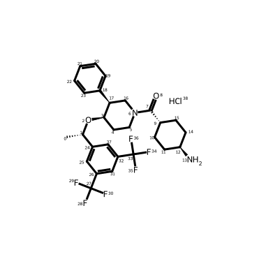 C[C@H](O[C@@H]1CCN(C(=O)[C@H]2CC[C@H](N)CC2)C[C@@H]1c1ccccc1)c1cc(C(F)(F)F)cc(C(F)(F)F)c1.Cl